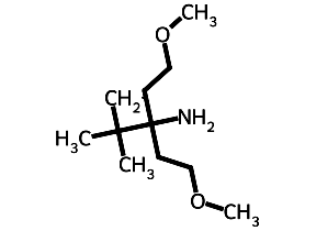 [CH2]C(C)(C)C(N)(CCOC)CCOC